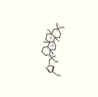 CC[C@@]1(O)CC[C@H]2[C@H](CC[C@@H]3[C@@H]2CC[C@@]2(C)[C@H]3CCC[C@@H]2[C@](C)(O)Cn2cc(C#N)cn2)C1